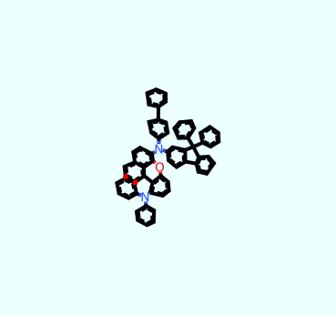 c1ccc(-c2ccc(N(c3ccc4c(c3)C(c3ccccc3)(c3ccccc3)c3ccccc3-4)c3ccc4cccc5c4c3Oc3cccc(N(c4ccccc4)c4ccccc4)c3-5)cc2)cc1